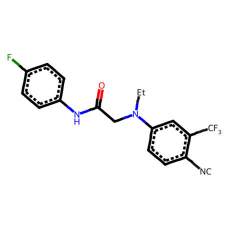 [C-]#[N+]c1ccc(N(CC)CC(=O)Nc2ccc(F)cc2)cc1C(F)(F)F